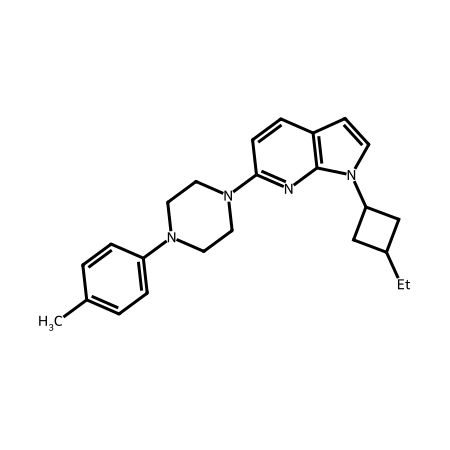 CCC1CC(n2ccc3ccc(N4CCN(c5ccc(C)cc5)CC4)nc32)C1